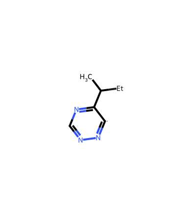 CCC(C)c1[c]nncn1